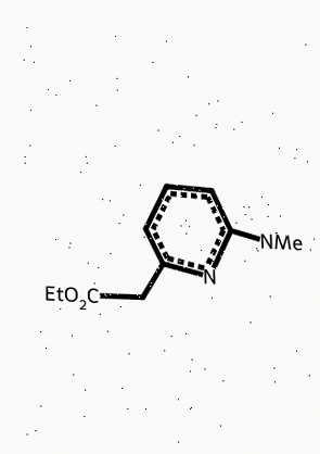 CCOC(=O)Cc1cccc(NC)n1